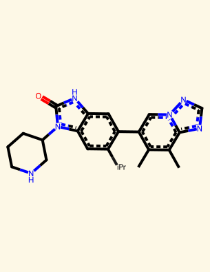 Cc1c(-c2cc3[nH]c(=O)n(C4CCCNC4)c3cc2C(C)C)cn2ncnc2c1C